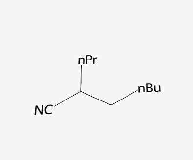 CCCCCC(C#N)CCC